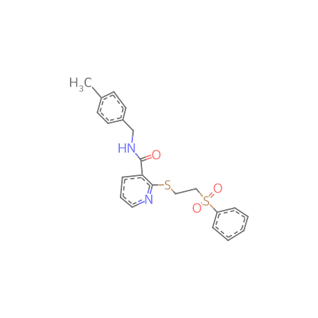 Cc1ccc(CNC(=O)c2cccnc2SCCS(=O)(=O)c2ccccc2)cc1